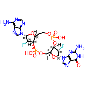 Nc1nc2c(ncn2[C@@H]2O[C@@H]3COP(=O)(O)O[C@H]4[C@@H](F)[C@H](n5cnc6c(N)ncnc65)O[C@@H]4CCOP(=O)(O)O[C@H]3[C@H]2F)c(=O)[nH]1